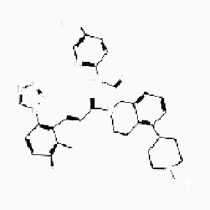 CN1CCC(c2cccc3c2CCN(C(=O)/C=C/c2c(-n4cnnn4)ccc(Cl)c2F)[C@@H]3C(=O)Nc2ccc(C(=O)O)cn2)CC1